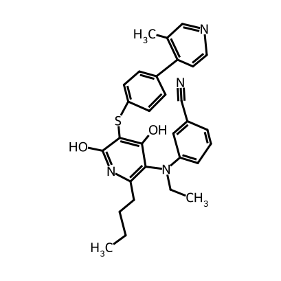 CCCCc1nc(O)c(Sc2ccc(-c3ccncc3C)cc2)c(O)c1N(CC)c1cccc(C#N)c1